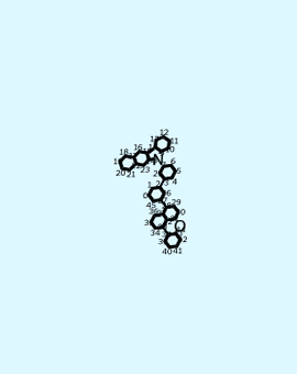 c1cc(-c2cccc(-n3c4ccccc4c4cc5ccccc5cc43)c2)cc(-c2ccc3c4c(cccc24)-c2ccccc2O3)c1